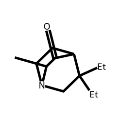 CCC1(CC)CN2CCC1C(=O)C2C